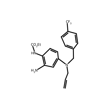 C=CCN(Cc1ccc(C(F)(F)F)cc1)c1ccc(NC(=O)OCC)c(N)c1